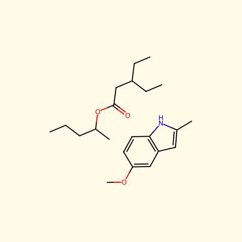 CCCC(C)OC(=O)CC(CC)CC.COc1ccc2[nH]c(C)cc2c1